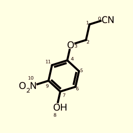 N#CCCOc1ccc(O)c([N+](=O)[O-])c1